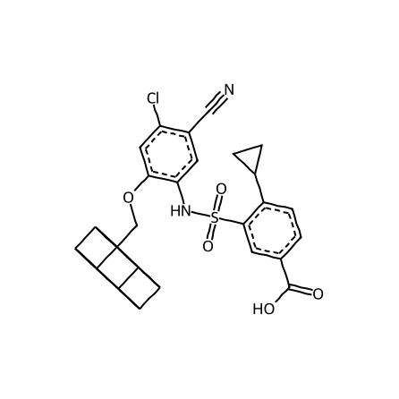 N#Cc1cc(NS(=O)(=O)c2cc(C(=O)O)ccc2C2CC2)c(OCC23C4C5C6C4C2C6C53)cc1Cl